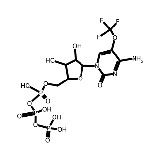 Nc1nc(=O)n(C2OC(COP(=O)(O)OP(=O)(O)OP(=O)(O)O)C(O)C2O)cc1OC(F)(F)F